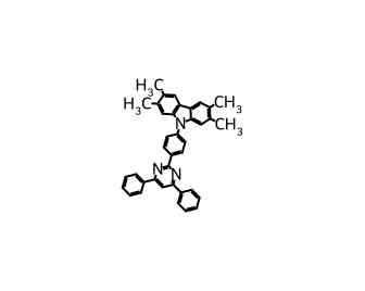 Cc1cc2c3cc(C)c(C)cc3n(-c3ccc(-c4nc(-c5ccccc5)cc(-c5ccccc5)n4)cc3)c2cc1C